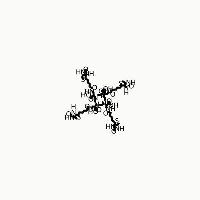 O=C(CCCCC1SCC2NC(=O)NC21)NCC(C(=O)O)N1CCN(C(CNC(=O)CCCCC2SCC3NC(=O)NC32)C(=O)O)CCN(C(CNC(=O)CCCCC2SCC3NC(=O)NC32)C(=O)O)CCN(C(CNC(=O)CCCCC2SCC3NC(=O)NC32)C(=O)O)CC1